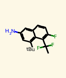 CC(C)(C)c1cc(N)cc2ccc(F)c(C(C)(F)F)c12